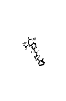 Cc1ccccc1-c1nnc([C@H](C)Nc2nccc(N3C(=O)OC[C@@H]3[C@@H](C)O)n2)o1